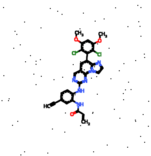 C#Cc1ccc(Nc2ncc3cc(-c4c(Cl)c(OC)cc(OC)c4Cl)c4nccn4c3n2)c(NC(=O)C=C)c1